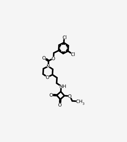 CCOC1C(=O)C(=O)C1NCCC1CN(C(=O)OCc2cc(Cl)cc(Cl)c2)CCO1